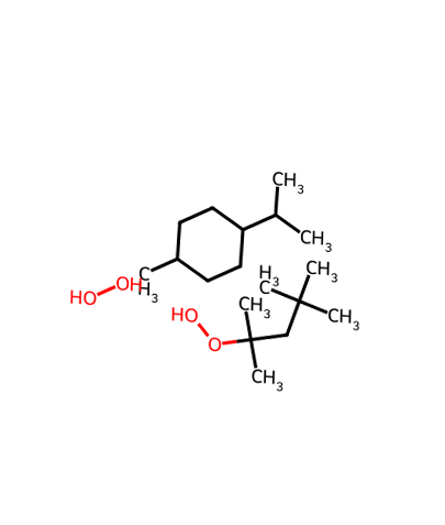 CC(C)(C)CC(C)(C)OO.CC1CCC(C(C)C)CC1.OO